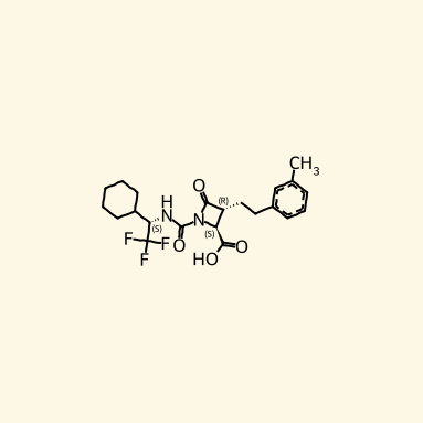 Cc1cccc(CC[C@H]2C(=O)N(C(=O)N[C@@H](C3CCCCC3)C(F)(F)F)[C@@H]2C(=O)O)c1